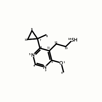 COc1ncnc(C2(C)CC2)c1CCS